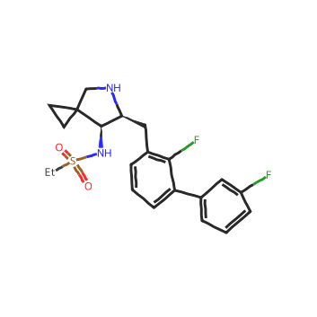 CCS(=O)(=O)N[C@@H]1[C@H](Cc2cccc(-c3cccc(F)c3)c2F)NCC12CC2